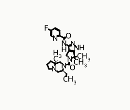 CC[C@H]1CN2CCC[C@@]2(C)CN1C(=O)N1Cc2c(NC(=O)c3ccc(F)cn3)n[nH]c2C1(C)C